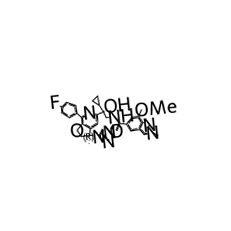 COc1cc(C(=O)NCC(O)(c2cc3c(c(-c4ccc(F)cc4)n2)OC[C@]3(C)n2cnnc2)C2CC2)cc2cn(C)nc12